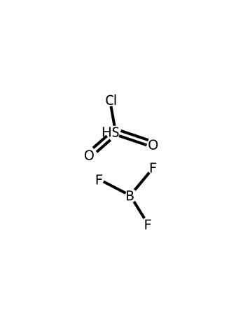 FB(F)F.O=[SH](=O)Cl